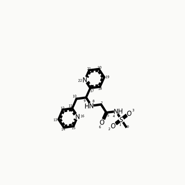 CS(=O)(=O)NC(=O)CNC(Cc1ccccn1)c1ccccn1